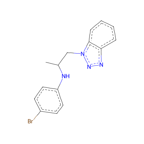 CC(Cn1nnc2ccccc21)Nc1ccc(Br)cc1